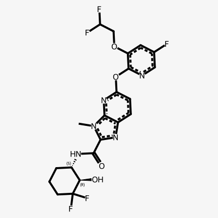 Cn1c(C(=O)N[C@H]2CCCC(F)(F)[C@@H]2O)nc2ccc(Oc3ncc(F)cc3OCC(F)F)nc21